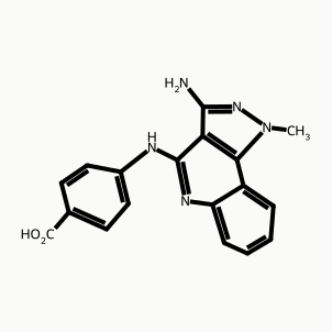 Cn1nc(N)c2c(Nc3ccc(C(=O)O)cc3)nc3ccccc3c21